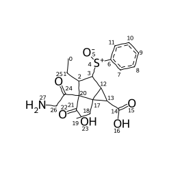 CCC1C([S+]([O-])c2ccccc2)C2C(C(=O)O)C2(CC)C1(C(=O)O)C(=O)CN